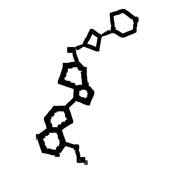 COc1ncnc2ccc(-c3ccn4nc(N[C@H]5C[C@@H](N6CCOCC6)C5)ncc34)cc12